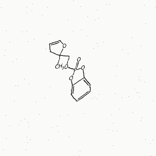 CC1(COP2(=O)Oc3ccccc3O2)CC=CO1